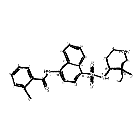 Cc1ccccc1C(=O)Nc1ccc(S(=O)(=O)NC2CCNCC2(C)C)c2ccccc12